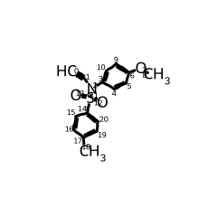 C#CN(c1ccc(OC)cc1)S(=O)(=O)c1ccc(C)cc1